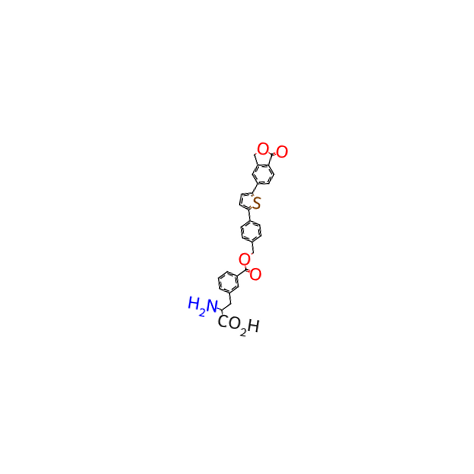 NC(Cc1cccc(C(=O)OCc2ccc(-c3ccc(-c4ccc5c(c4)COC5=O)s3)cc2)c1)C(=O)O